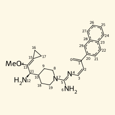 C=C(/C=C\N=C(/N)N1CCC([C@@H](N)C(OC)=C2CC2)CC1)c1ccc2ccccc2c1